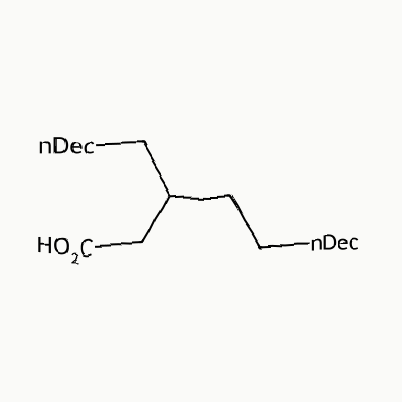 CCCCCCCCCCCCC(CCCCCCCCCCC)CC(=O)O